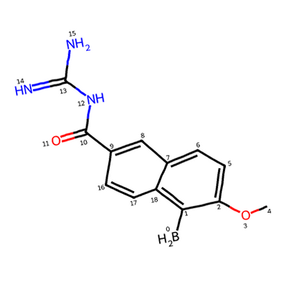 Bc1c(OC)ccc2cc(C(=O)NC(=N)N)ccc12